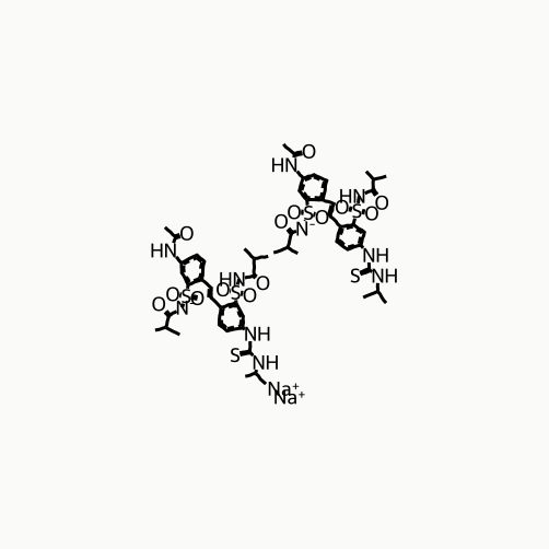 CC(=O)Nc1ccc(/C=C/c2ccc(NC(=S)NC(C)C)cc2S(=O)(=O)NC(=O)C(C)C)c(S(=O)(=O)[N-]C(=O)C(C)C)c1.CC(=O)Nc1ccc(/C=C/c2ccc(NC(=S)NC(C)C)cc2S(=O)(=O)NC(=O)C(C)C)c(S(=O)(=O)[N-]C(=O)C(C)C)c1.[Na+].[Na+]